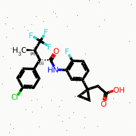 C[C@H]([C@H](C(=O)Nc1cc(C2(CC(=O)O)CC2)ccc1F)c1ccc(Cl)cc1)C(F)(F)F